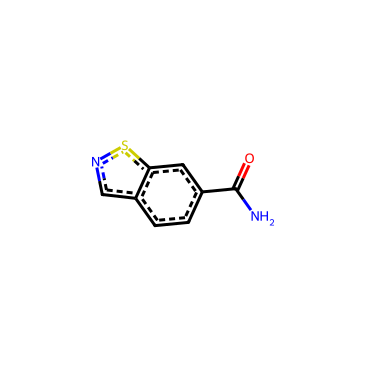 NC(=O)c1ccc2cnsc2c1